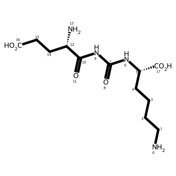 NCCCC[C@H](NC(=O)NC(=O)[C@@H](N)CCC(=O)O)C(=O)O